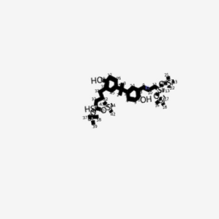 CC(C)(c1ccc(O)c(/C=C/C[Si](C)(O[Si](C)(C)C)O[Si](C)(C)C)c1)c1ccc(O)c(CCC[SiH](O[Si](C)(C)C)O[Si](C)(C)C)c1